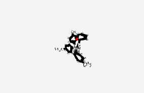 Cc1ccc([AsH]([AsH]c2ccccc2)(c2ccc(C)cc2)c2ccc(C)cc2)cc1